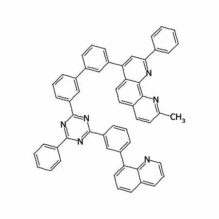 Cc1ccc2ccc3c(-c4cccc(-c5cccc(-c6nc(-c7ccccc7)nc(-c7cccc(-c8cccc9cccnc89)c7)n6)c5)c4)cc(-c4ccccc4)nc3c2n1